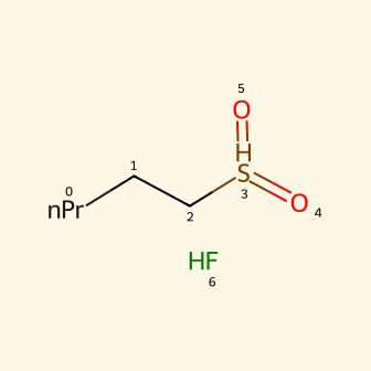 CCCCC[SH](=O)=O.F